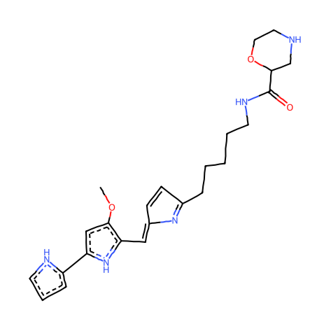 COc1cc(-c2ccc[nH]2)[nH]c1C=C1C=CC(CCCCCNC(=O)C2CNCCO2)=N1